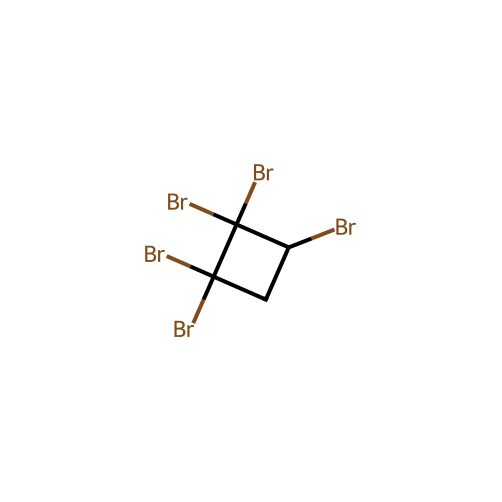 BrC1CC(Br)(Br)C1(Br)Br